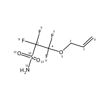 C=CCOC(F)(F)C(F)(F)S(N)(=O)=O